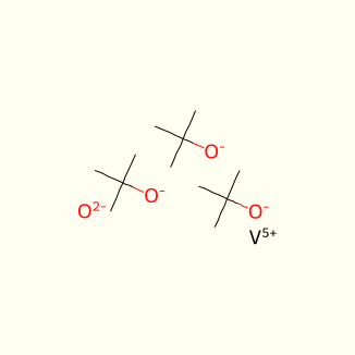 CC(C)(C)[O-].CC(C)(C)[O-].CC(C)(C)[O-].[O-2].[V+5]